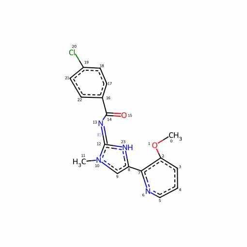 COc1cccnc1-c1cn(C)/c(=N/C(=O)c2ccc(Cl)cc2)[nH]1